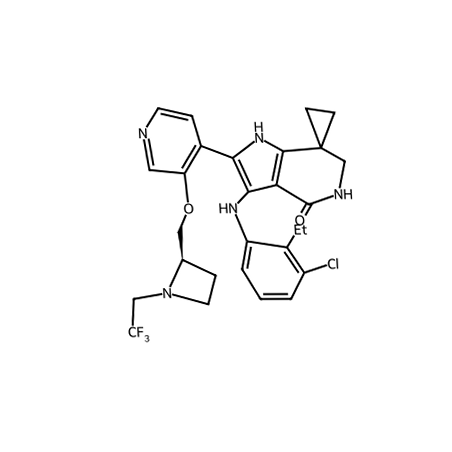 CCc1c(Cl)cccc1Nc1c(-c2ccncc2OC[C@H]2CCN2CC(F)(F)F)[nH]c2c1C(=O)NCC21CC1